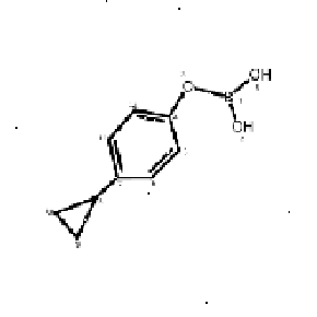 OB(O)Oc1ccc(C2CC2)cc1